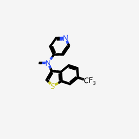 CN(c1ccncc1)c1csc2cc(C(F)(F)F)ccc12